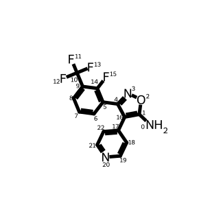 Nc1onc(-c2cccc(C(F)(F)F)c2F)c1-c1ccncc1